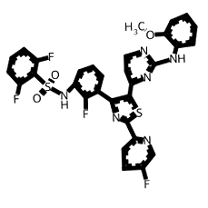 COc1ccccc1Nc1nccc(-c2sc(-c3ccc(F)cn3)nc2-c2cccc(NS(=O)(=O)c3c(F)cccc3F)c2F)n1